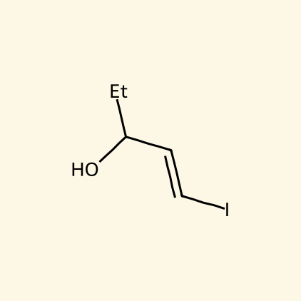 CCC(O)/C=C/I